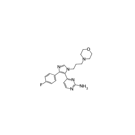 Nc1nccc(-c2c(-c3ccc(F)cc3)ncn2CCCN2CCOCC2)n1